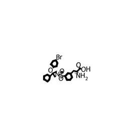 N[C@@H](Cc1cccc(S(=O)(=O)N2CC(Oc3ccc(Br)cc3)(c3ccccc3)C2)c1)C(=O)O